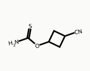 N#CC1CC(OC(N)=S)C1